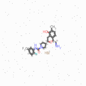 Br.Cc1ccc2c(c1O)C[C@@H](C1CCN(C(=O)Nc3cc(C(F)(F)F)ccc3F)CC1)O[C@H]2CN